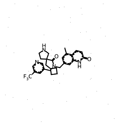 Cc1cc(CN(Cc2cncc(C(F)(F)F)c2)C(=O)C2(CC3CCC3)CCNC2)cc2[nH]c(=O)ccc12